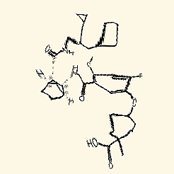 COc1cc(F)c(OC2CCC(C)(C(=O)O)CC2)cc1C(=O)N[C@@H]1[C@H]2CC[C@H](C2)[C@@H]1C(=O)NCC(CC1CCC1)C1CC1